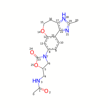 CC(=O)NCC1CN(c2ccc3c(c2)OCCc2[nH]c(C)nc2-3)C(=O)O1